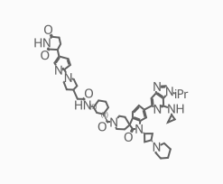 CC(C)n1cnc2cc(-c3ccc4c(c3)N([C@H]3C[C@@H](N5CCCCC5)C3)C(=O)C43CCN(C(=O)[C@@H]4CCC[C@H](NC(=O)CC5CCN(c6ccc(C7CCC(=O)NC7=O)cn6)CC5)C4)CC3)nc(NC3CC3)c21